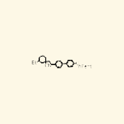 CCCCCOc1ccc(-c2ccc(CCC3(C#N)CCCC(CC)C3)cc2)cc1